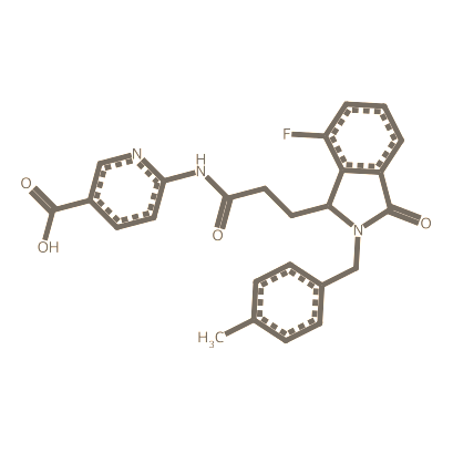 Cc1ccc(CN2C(=O)c3cccc(F)c3C2CCC(=O)Nc2ccc(C(=O)O)cn2)cc1